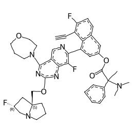 C#Cc1c(F)ccc2cc(OC(=O)C(C)(c3ccccc3)N(C)C)cc(-c3ncc4c(N5CCCOCC5)nc(OC[C@@]56CCCN5C[C@H](F)C6)nc4c3F)c12